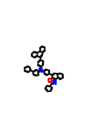 c1ccc(-c2cccc(N(c3ccc(-c4cc5ccccc5c5ccccc45)cc3)c3ccc(-c4cc5ccccc5c5nc(-c6ccccc6)oc45)cc3)c2)cc1